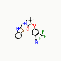 CC1(C)CN(Cc2nc3ccccc3s2)C(=O)C1Oc1ccc(C#N)c(C(F)(F)F)c1